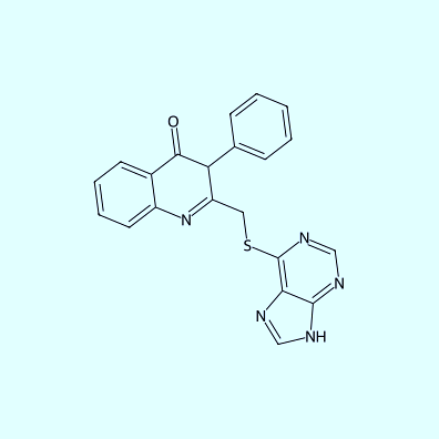 O=C1c2ccccc2N=C(CSc2ncnc3[nH]cnc23)C1c1ccccc1